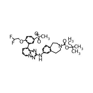 CC(C)(C)OC(=O)N1CCc2ccc(Nc3nc4c(-c5cc(S(C)(=O)=O)ccc5OCC(F)F)cccn4n3)cc2CC1